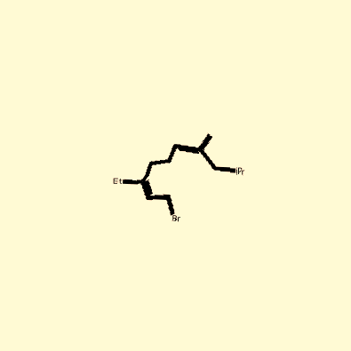 CCC(=CCBr)CCC=C(C)CC(C)C